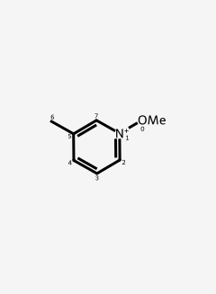 CO[n+]1cccc(C)c1